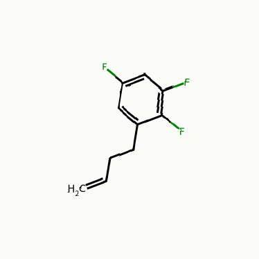 C=CCCc1cc(F)cc(F)c1F